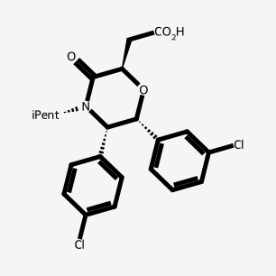 CCC[C@@H](C)N1C(=O)[C@@H](CC(=O)O)O[C@H](c2cccc(Cl)c2)[C@@H]1c1ccc(Cl)cc1